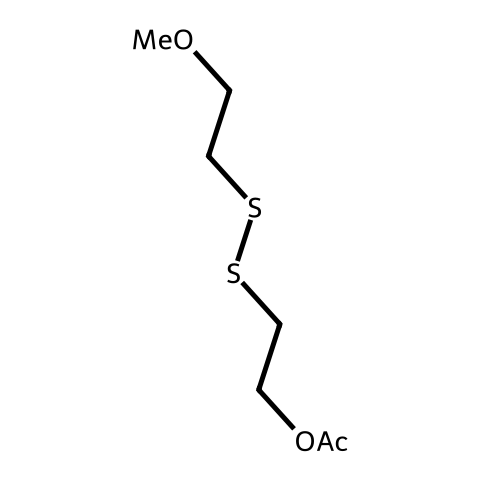 COCCSSCCOC(C)=O